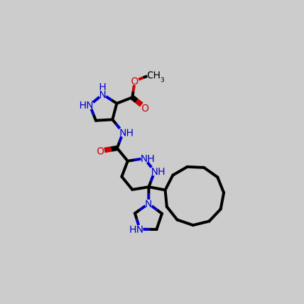 COC(=O)C1NNCC1NC(=O)C1CCC(C2CCCCCCCCCC2)(N2CCNC2)NN1